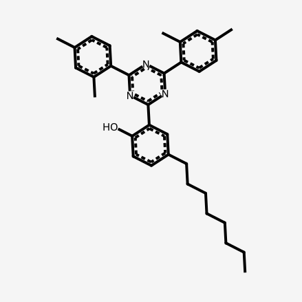 CCCCCCCCc1ccc(O)c(-c2nc(-c3ccc(C)cc3C)nc(-c3ccc(C)cc3C)n2)c1